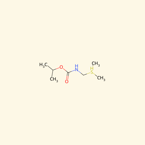 CC(C)OC(=O)NC[SH](C)C